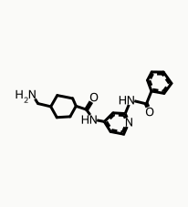 NCC1CCC(C(=O)Nc2ccnc(NC(=O)c3ccccc3)c2)CC1